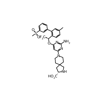 Cc1ccc([C@@H](Oc2cc(N3CCC4(CC3)CN[C@H](C(=O)O)C4)nc(N)n2)C(F)(F)F)c(-c2cccc(S(C)(=O)=O)c2)c1